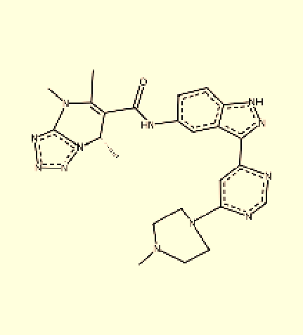 CC1=C(C(=O)Nc2ccc3[nH]nc(-c4cc(N5CCN(C)CC5)ncn4)c3c2)[C@H](C)n2nnnc2N1C